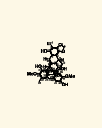 CCc1c(O)c2c(c3c1OCO3)[C@@H]1COC(=O)[C@]3(CS[C@H]2C2[C@@H]4N[C@@H](Cc5cc(C)c(OC)c(O)c54)[C@H](O)N21)NCCc1cc(O)c(OC)cc13